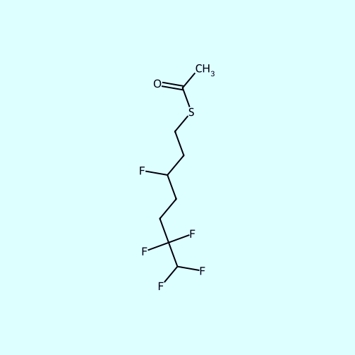 CC(=O)SCCC(F)CCC(F)(F)C(F)F